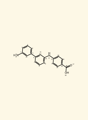 Nc1cccc(-c2ccnc(Nc3ccc(C(=O)O)cc3)n2)c1